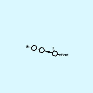 CCCCCC1CCC(C#CC2CCC([C@H]3CC[C@H](CC)CC3)CC2)C(F)C1